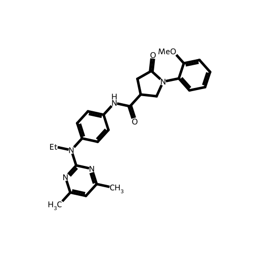 CCN(c1ccc(NC(=O)C2CC(=O)N(c3ccccc3OC)C2)cc1)c1nc(C)cc(C)n1